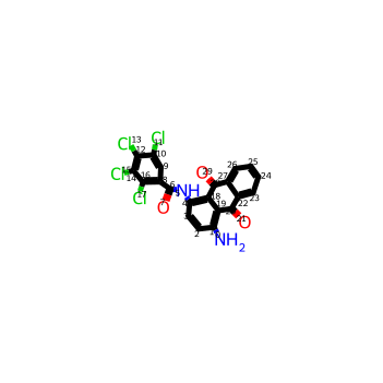 Nc1ccc(NC(=O)c2cc(Cl)c(Cl)c(Cl)c2Cl)c2c1C(=O)c1ccccc1C2=O